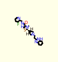 CN1C(C(=O)NCc2ncccc2F)=CSC1[C@H]1[C@@H]2CN(CCc3nc4ccccc4[nH]3)C[C@@H]21